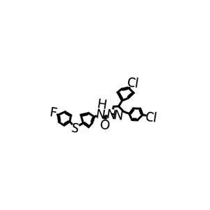 O=C(Nc1ccc(Sc2ccc(F)cc2)cc1)N1CC(c2ccc(Cl)cc2)C(c2ccc(Cl)cc2)=N1